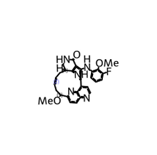 COc1c(F)cccc1Nc1c2[nH]c3c1C(=O)NC[C@H]3C/C=C\C[C@H](OC)c1ccc3nccc-2c3n1